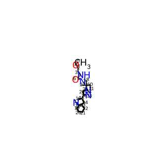 COCCNC(=O)N1CC2(CCn3nc(-c4cnc5ccccc5c4)cc32)C1